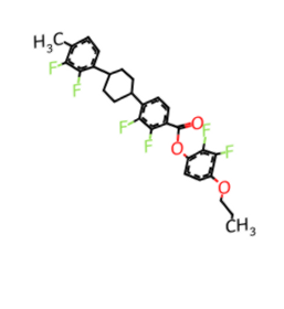 CCCOc1ccc(OC(=O)c2ccc(C3CCC(c4ccc(C)c(F)c4F)CC3)c(F)c2F)c(F)c1F